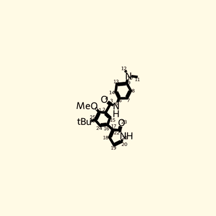 COc1c(C(=O)Nc2ccc(N(C)C)cc2)cc(-c2ccc[nH]c2=O)cc1C(C)(C)C